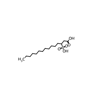 CCCCCCCCCCCCC(CC(=O)O)S(=O)(=O)O